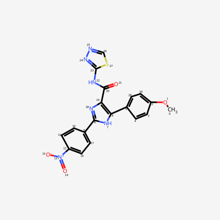 COc1ccc(-c2[nH]c(-c3ccc([N+](=O)[O-])cc3)nc2C(=O)Nc2nncs2)cc1